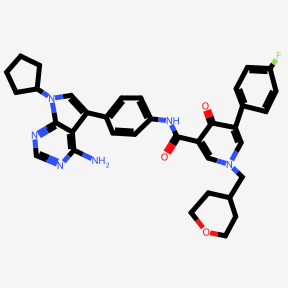 Nc1ncnc2c1c(-c1ccc(NC(=O)c3cn(CC4CCOCC4)cc(-c4ccc(F)cc4)c3=O)cc1)cn2C1CCCC1